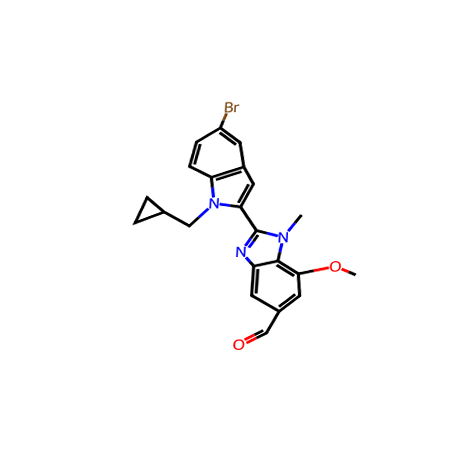 COc1cc(C=O)cc2nc(-c3cc4cc(Br)ccc4n3CC3CC3)n(C)c12